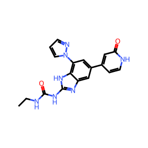 CCNC(=O)Nc1nc2cc(-c3cc[nH]c(=O)c3)cc(-n3cccn3)c2[nH]1